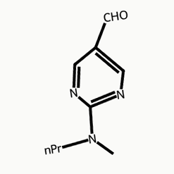 CCCN(C)c1ncc(C=O)cn1